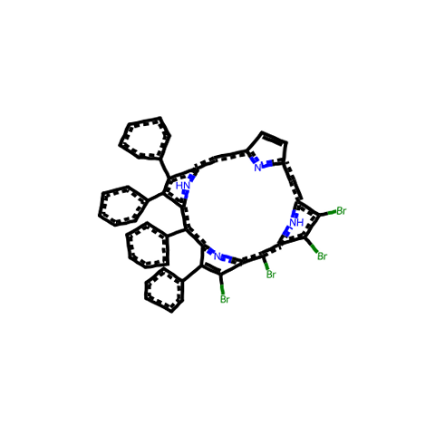 BrC1=C(c2ccccc2)c2nc1c(Br)c1[nH]c(cc3nc(cc4[nH]c(c2-c2ccccc2)c(-c2ccccc2)c4-c2ccccc2)C=C3)c(Br)c1Br